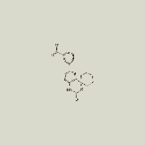 O=C1Nc2ccc(-c3cccc([N+](=O)[O-])c3)cc2C2(CCCCC2)O1